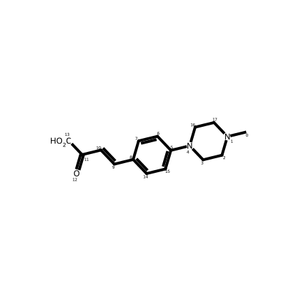 CN1CCN(c2ccc(C=CC(=O)C(=O)O)cc2)CC1